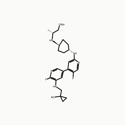 COC[C@@H](C)N[C@H]1CC[C@H](Nc2cc(-c3cnc(F)c(NCC4(C#N)CC4)c3)c(F)cn2)CC1